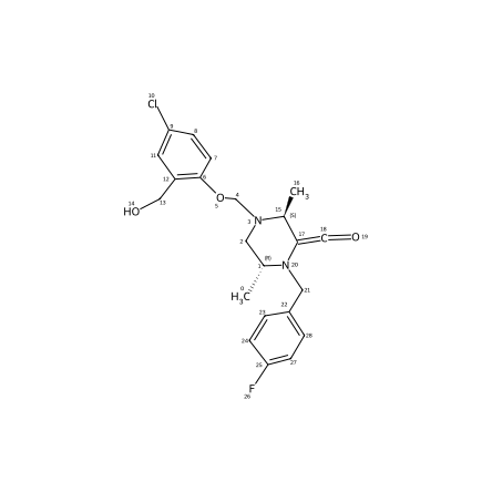 C[C@@H]1CN(COc2ccc(Cl)cc2CO)[C@@H](C)C(=C=O)N1Cc1ccc(F)cc1